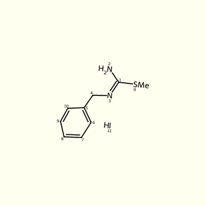 CSC(N)=NCc1ccccc1.I